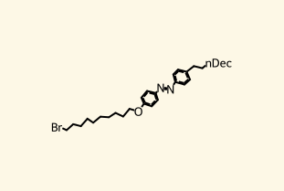 CCCCCCCCCCCCc1ccc(N=Nc2ccc(OCCCCCCCCCCBr)cc2)cc1